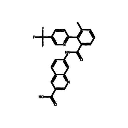 Cc1cccc(C(=O)Nc2ccc3cc(C(=O)O)cnc3c2)c1-c1ccc(C(F)(F)F)cn1